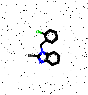 CCc1nc2ccccc2n1Cc1ccccc1Cl